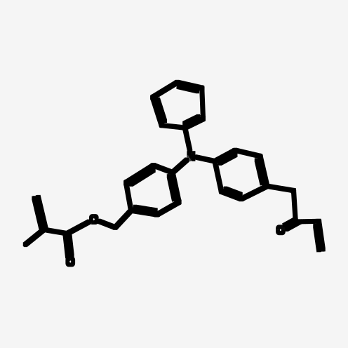 C=CC(=O)Cc1ccc(N(c2ccccc2)c2ccc(COC(=O)C(=C)C)cc2)cc1